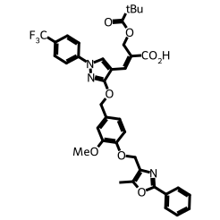 COc1cc(COc2nn(-c3ccc(C(F)(F)F)cc3)cc2C=C(COC(=O)C(C)(C)C)C(=O)O)ccc1OCc1nc(-c2ccccc2)oc1C